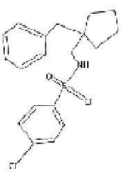 O=S(=O)(NCC1(Cc2ccccc2)CCCC1)c1ccc(Cl)cc1